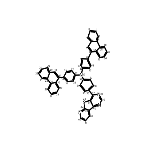 c1ccc2c(c1)cc(-c1ccc(N(c3ccc(-c4cc5ccccc5c5ccccc45)cc3)c3ccc(-c4ncnc5c4sc4ncccc45)cc3)cc1)c1ccccc12